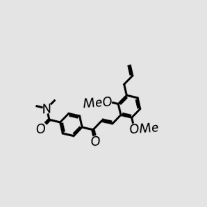 C=CCc1ccc(OC)c(C=CC(=O)c2ccc(C(=O)N(C)C)cc2)c1OC